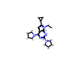 CCn1c(C2CC2)cc2c(N3CCCC3)nc(N3CCCC3)nc21